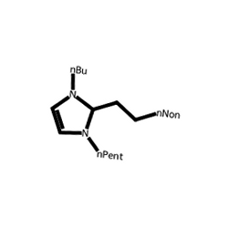 CCCCCCCCCCCC1N(CCCC)C=CN1CCCCC